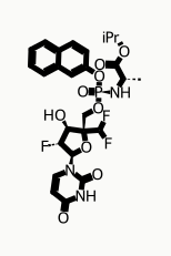 CC(C)OC(=O)[C@H](C)N[P@](=O)(OC[C@@]1(C(F)F)O[C@@H](n2ccc(=O)[nH]c2=O)[C@H](F)[C@H]1O)Oc1ccc2ccccc2c1